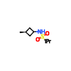 CC(C)S(=O)(=O)N[C@H]1C[C@@H](C)C1